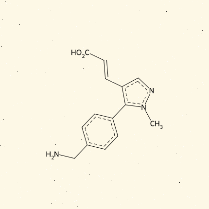 Cn1ncc(C=CC(=O)O)c1-c1ccc(CN)cc1